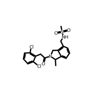 CC1c2cccc(CNS(C)(=O)=O)c2CN1C(=O)Cc1c(Cl)cccc1Cl